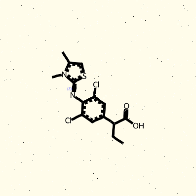 CCC(C(=O)O)c1cc(Cl)c(/N=c2\scc(C)n2C)c(Cl)c1